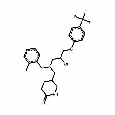 Cc1ccccc1CN(CC(O)COc1ccc(C(F)(F)F)cc1)CC1CCC(=O)NC1